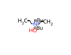 C=CC[N+](CC=C)(CCCC)CCCC.[OH-]